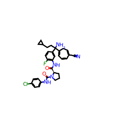 N#CC1=CCC(C(N)(CCC2CC2)c2ccc(F)c(NC(=O)[C@H]3CCCN3C(=O)Nc3ccc(Cl)cc3)c2)=CC=C1